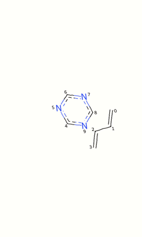 C=CC=C.c1ncncn1